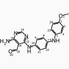 COc1ccc(Nc2ccc(Nc3ncnc(N)c3C=O)cc2)cc1